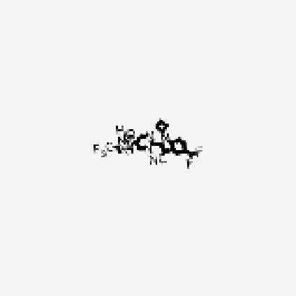 C[C@H](NS(=O)(=O)c1cnc(-c2c(C#N)c3cc(C(F)F)ccc3n2C2CCC2)nc1)C(F)(F)F